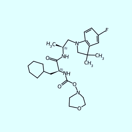 C[C@@H](CN1CC(C)(C)c2cc(F)ccc21)NC(=O)[C@H](CC1CCCCC1)NC(=O)ON1CCOCC1